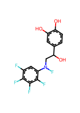 Oc1ccc(C(O)CN(F)c2cc(F)c(F)c(F)c2F)cc1O